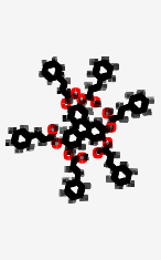 O=C(C=Cc1ccccc1)Oc1cc2c3cc(OC(=O)C=Cc4ccccc4)c(OC(=O)C=Cc4ccccc4)cc3c3cc(OC(=O)C=Cc4ccccc4)c(OC(=O)C=Cc4ccccc4)cc3c2cc1OC(=O)C=Cc1ccccc1